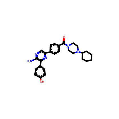 Nc1ncc(-c2ccc(C(=O)N3CCN(C4CCCCC4)CC3)cc2)nc1-c1ccc(O)cc1